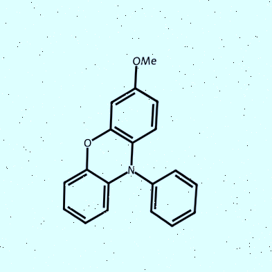 COc1ccc2c(c1)Oc1ccccc1N2c1ccccc1